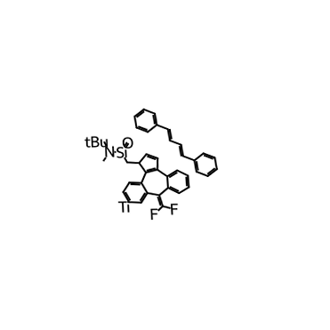 C(C=Cc1ccccc1)=Cc1ccccc1.CN([Si](=O)CC1C=CC2=C1c1ccccc1C(=C(F)F)c1ccccc12)C(C)(C)C.[Ti]